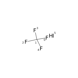 FC(F)(F)F.I